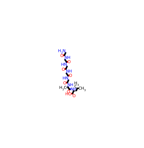 CC(C)C[C@H](NC(=O)[C@H](C)NC(=O)CNC(=O)CNC(=O)CNC(=O)CNC(=O)CN)C(=O)O